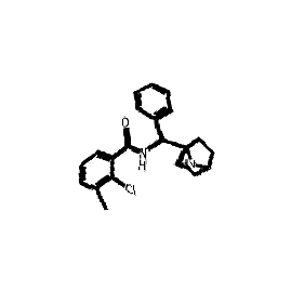 Cc1cccc(C(=O)NC(c2ccccc2)C23CCC(CC2)N3)c1Cl